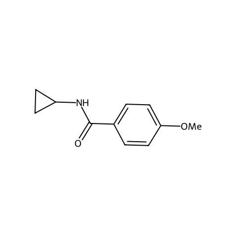 [CH2]Oc1ccc(C(=O)NC2CC2)cc1